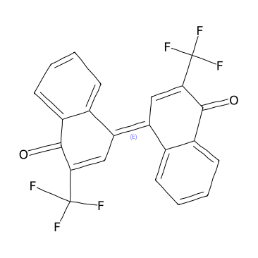 O=C1C(C(F)(F)F)=C/C(=C2/C=C(C(F)(F)F)C(=O)c3ccccc32)c2ccccc21